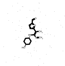 C=N/C(N[C@H]1CC[C@H](O)CC1)=C(\C)c1ccc(C=O)o1